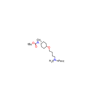 CCCCCN(C)CCCCO[C@H]1CC[C@H](N(C)C(=O)OC(C)(C)C)CC1